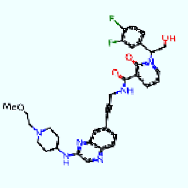 COCCN1CCC(Nc2cnc3ccc(C#CCNC(=O)c4cccn(C(CO)c5ccc(F)c(F)c5)c4=O)cc3n2)CC1